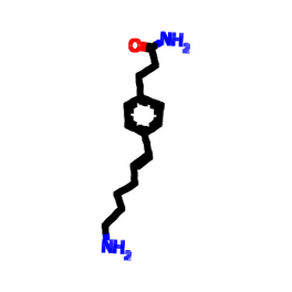 NCCCCC=Cc1ccc(CCC(N)=O)cc1